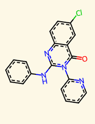 O=c1c2cc(Cl)ccc2nc(Nc2ccccc2)n1-c1ccccn1